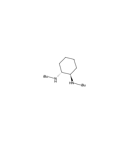 CCC(C)N[C@@H]1CCCC[C@H]1NC(C)CC